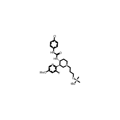 COc1cnc([C@@H]2CN(CCCO[Si](C)(C)C(C)(C)C)CC[C@H]2NC(=O)Nc2ccc(Cl)cc2)c(F)c1